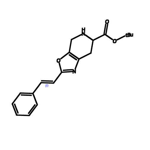 CC(C)(C)OC(=O)C1Cc2nc(/C=C/c3ccccc3)oc2CN1